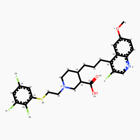 COc1ccc2ncc(F)c(CCCC3CCN(CCSc4cc(F)cc(F)c4F)CC3C(=O)O)c2c1